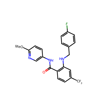 COc1ccc(NC(=O)c2ccc(C(F)(F)F)cc2NCc2ccc(F)cc2)cn1